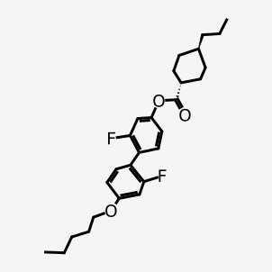 CCCCCOc1ccc(-c2ccc(OC(=O)[C@H]3CC[C@H](CCC)CC3)cc2F)c(F)c1